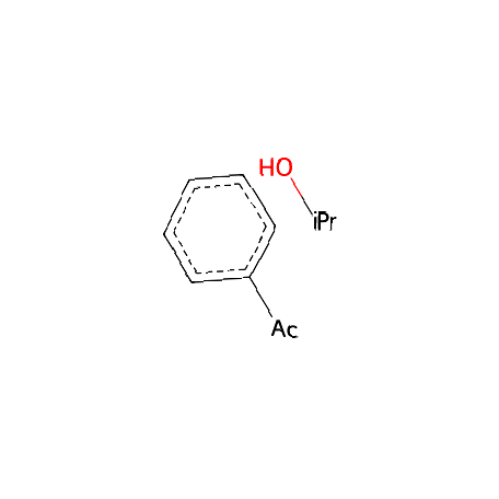 CC(=O)c1ccccc1.CC(C)O